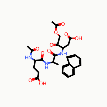 CC(=O)NC(CCC(=O)O)C(=O)NC(C)C(=O)NC(CC(=O)O)C(=O)COC(C)=O.c1ccc2ccccc2c1